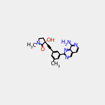 Cc1cc(C#C[C@]2(O)CCN(C)C2=O)cc(-c2ncc3ccnc(N)c3n2)c1